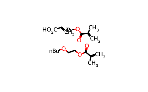 C=C(C)C(=O)OC(C)C.C=C(C)C(=O)OCCOCCCC.C=CC(=O)O